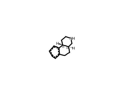 c1ccc2c(c1)CC[C@@H]1CNCC[C@@H]21